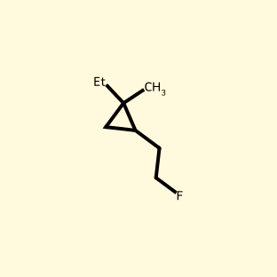 CCC1(C)CC1CCF